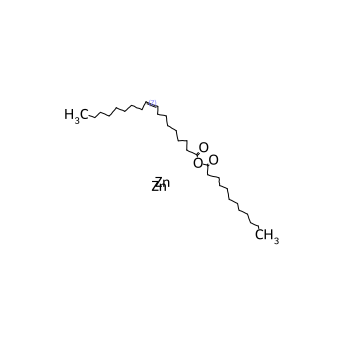 CCCCCCCC/C=C\CCCCCCCC(=O)OC(=O)CCCCCCCCCCC.[Zn].[Zn]